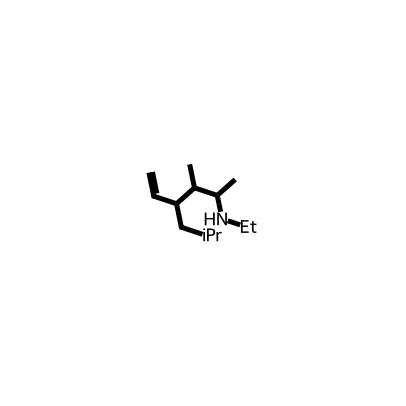 C=CC(CC(C)C)C(C)C(C)NCC